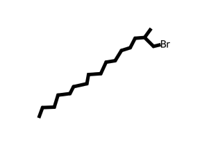 CCCCCCCCCCCCCCC(C)CBr